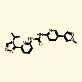 CC(C)n1cnnc1-c1cccc(NC(=O)Nc2ccc(-c3cnn(C)c3)cn2)n1